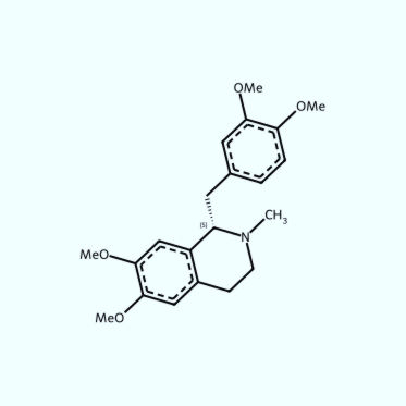 COc1ccc(C[C@H]2c3cc(OC)c(OC)cc3CCN2C)cc1OC